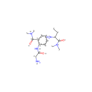 CCC(N)C(=O)N(C)C.CN(C)C(=O)c1ccccc1NC(=O)CN